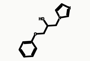 OC(COc1ccccc1)Cn1ccnc1